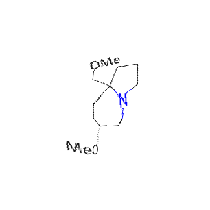 COCC12CCCN1C[C@H](OC)C2